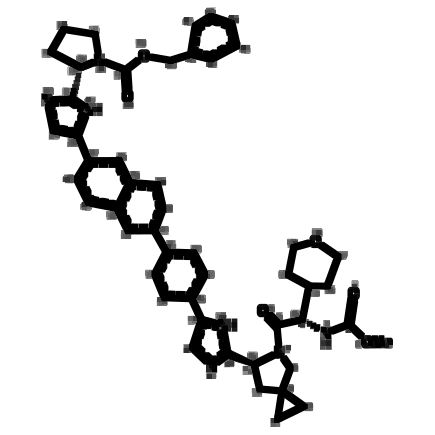 COC(=O)N[C@H](C(=O)N1CC2(CC2)C[C@H]1c1ncc(-c2ccc(-c3ccc4cc(-c5cnc([C@@H]6CCCN6C(=O)OCc6ccccc6)[nH]5)ccc4c3)cc2)[nH]1)C1CCOCC1